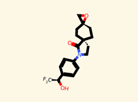 O=C1N(c2ccc([C@@H](O)C(F)(F)F)cc2)CC[C@]12CC[C@@]1(CC2)CO1